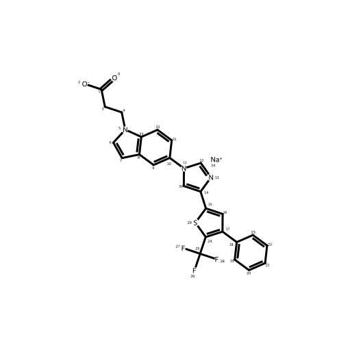 O=C([O-])CCn1ccc2cc(-n3cnc(-c4cc(-c5ccccc5)c(C(F)(F)F)s4)c3)ccc21.[Na+]